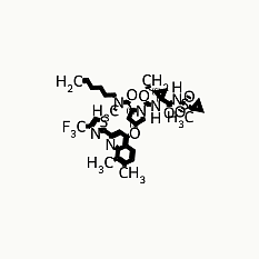 C=CCCCCN(C)C(=O)[C@@H]1C[C@H](Oc2cc(-c3nc(C(F)(F)F)cs3)nc3c(C)c(C)ccc23)CN1C(=O)N[C@]1(C(=O)NS(=O)(=O)C2(C)CC2)C[C@H]1C=C